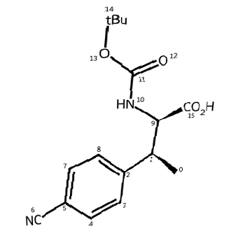 C[C@@H](c1ccc(C#N)cc1)[C@@H](NC(=O)OC(C)(C)C)C(=O)O